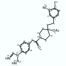 CC(=O)OC1(CCc2ccc(F)c(C#N)c2)CCN(C(=O)Cc2ccc(N(C=N)N=N)cc2)CC1